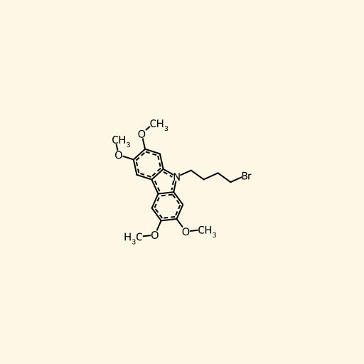 COc1cc2c3cc(OC)c(OC)cc3n(CCCCBr)c2cc1OC